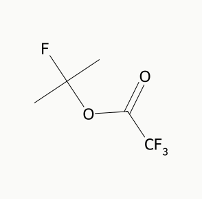 CC(C)(F)OC(=O)C(F)(F)F